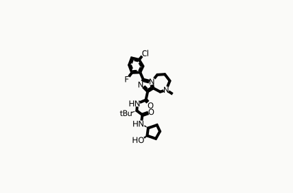 CN1CCCn2c(-c3cc(Cl)ccc3F)nc(C(=O)N[C@H](C(=O)N[C@@H]3CCC[C@H]3O)C(C)(C)C)c2C1